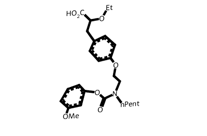 CCCCCN(CCOc1ccc(CC(OCC)C(=O)O)cc1)C(=O)Oc1cccc(OC)c1